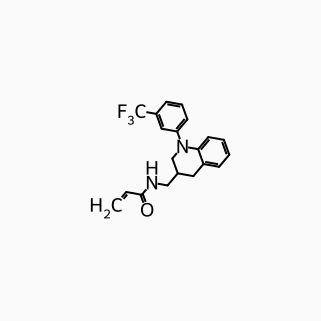 C=CC(=O)NCC1Cc2ccccc2N(c2cccc(C(F)(F)F)c2)C1